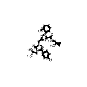 O=C(NCC1(O)CC1)c1nc(Cn2nc(-c3ccc(Cl)cc3)n(C[C@H](O)C(F)(F)F)c2=O)nn1-c1ccccc1Cl